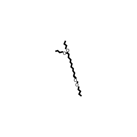 CCCCCOCOC=CCCCCCCCCCC(OCCCC)OCCCC